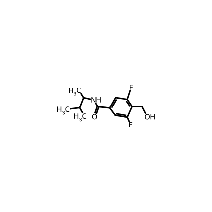 CC(C)C(C)NC(=O)c1cc(F)c(CO)c(F)c1